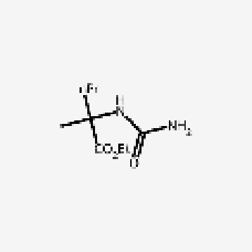 CCCC(C)(NC(N)=O)C(=O)OCC